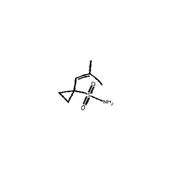 CC(C)=CC1(S(N)(=O)=O)CC1